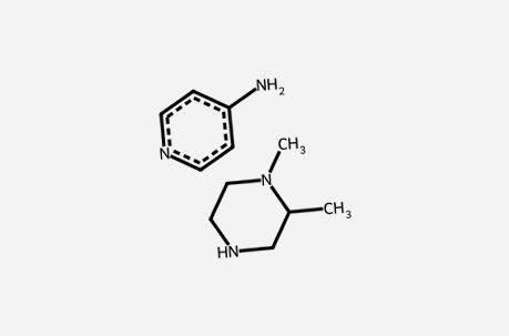 CC1CNCCN1C.Nc1ccncc1